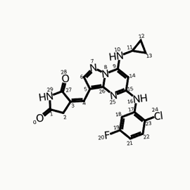 O=C1CC(=Cc2cnn3c(NC4CC4)cc(Nc4cc(F)ccc4Cl)nc23)C(=O)N1